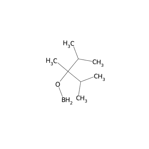 BOC(C)(C(C)C)C(C)C